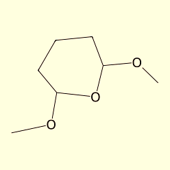 COC1CCCC(OC)O1